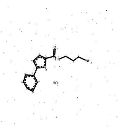 Cl.NCCCNC(=O)c1ccc(-c2ccccc2)s1